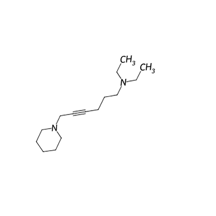 CCN(CC)CCCC#CCN1CCCCC1